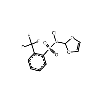 O=S(=O)(c1ccccc1C(F)(F)F)N(Cl)C1OC=CO1